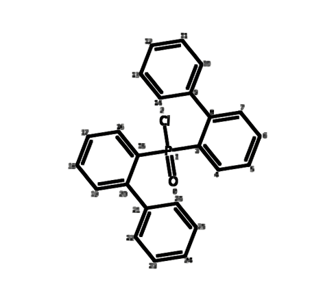 O=P(Cl)(c1ccccc1-c1ccccc1)c1ccccc1-c1ccccc1